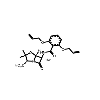 C=CCOc1cccc(OCC=C)c1C(=O)N[C@@]1(C(C)=O)C(=O)N2[C@@H](C(=O)O)C(C)(C)S[C@@H]21